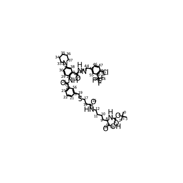 CC(C)(C)OC(=O)NC(CCCCNC(=O)CCSCc1cccc(C(=O)Nc2ccc(N3CCCCC3)cc2C(=O)NN=Cc2ccc(Cl)c(C(F)(F)F)c2)c1)C(=O)O